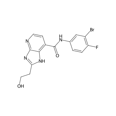 O=C(Nc1ccc(F)c(Br)c1)c1ccnc2nc(CCO)[nH]c12